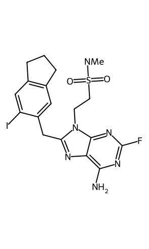 CNS(=O)(=O)CCn1c(Cc2cc3c(cc2I)CCC3)nc2c(N)nc(F)nc21